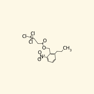 CCCc1cccc([N+](=O)[O-])c1COC(=O)CC[Si](Cl)(Cl)Cl